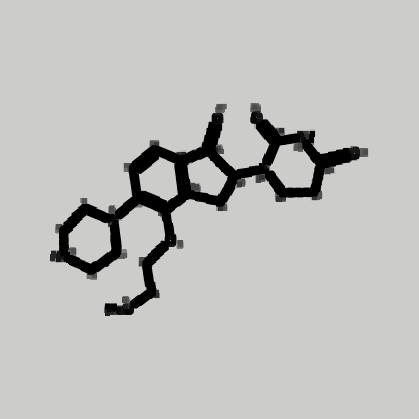 COCCOc1c(N2CCNCC2)ccc2c1CC(N1CCC(=O)NC1=O)C2=O